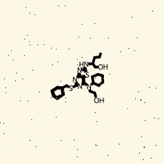 CCCC(CO)Nc1nc2nc(SCc3ccccc3)nc(N(CCO)C3CCCCC3)c2s1